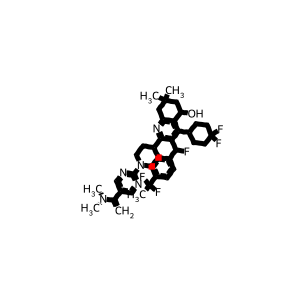 C=C(c1cnc(N2CCC(c3nc4c(c(C5CCC(F)(F)CC5)c3C(F)c3ccc(C(C)(F)F)cc3)C(O)CC(C)(C)C4)CC2)nc1)N(C)C